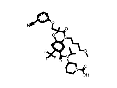 COCCCCN1C(=O)C(C)(COc2cccc(C#N)c2)Oc2cc(C(F)(F)F)c(C(=O)N(C(C)C)[C@@H]3CCCN(C(=O)O)C3)cc21